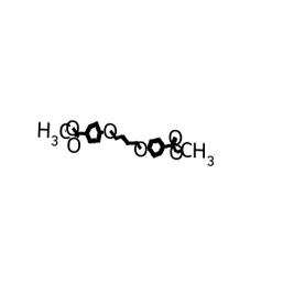 COC(=O)c1ccc(OCC=CCOc2ccc(C(=O)OC)cc2)cc1